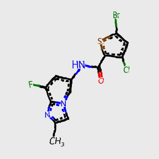 Cc1cn2cc(NC(=O)c3sc(Br)cc3Cl)cc(F)c2n1